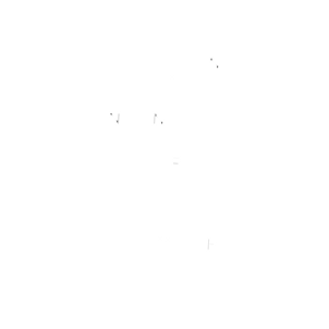 C=Nc1ccn(Cc2cccc(F)c2F)n1